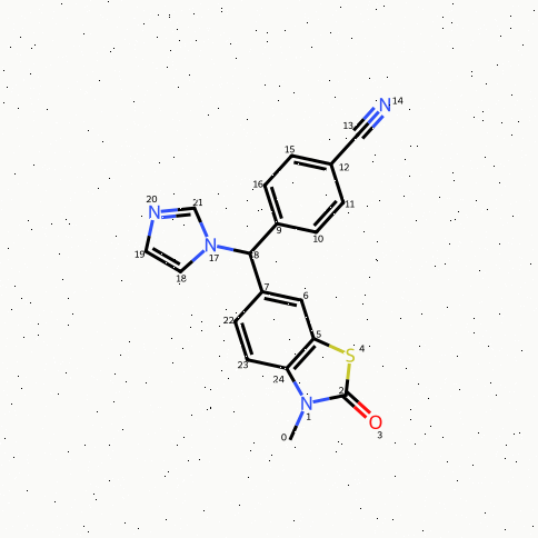 Cn1c(=O)sc2cc(C(c3ccc(C#N)cc3)n3ccnc3)ccc21